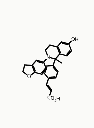 CC1(c2ccc(/C=C/C(=O)O)cc2)c2ccc(O)cc2CCN1c1ccc2c(c1)CCO2